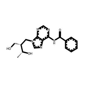 C[C@@H](O)[C@H](CO)Cn1cnc2c(NC(=O)c3ccccc3)ncnc21